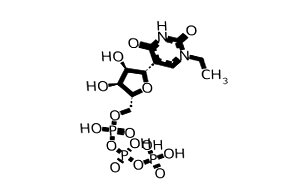 CCn1cc([C@@H]2O[C@H](COP(=O)(O)OP(=O)(O)OP(=O)(O)O)[C@@H](O)[C@H]2O)c(=O)[nH]c1=O